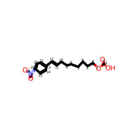 O=C(O)OCCCCCCCC=Cc1ccc([N+](=O)[O-])cc1